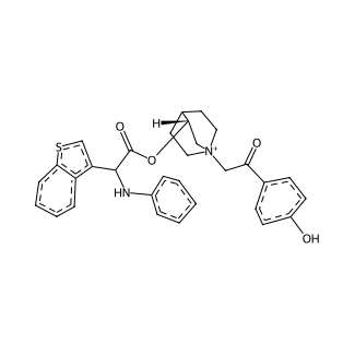 O=C(C[N+]12CCC(CC1)[C@@H](OC(=O)C(Nc1ccccc1)c1csc3ccccc13)C2)c1ccc(O)cc1